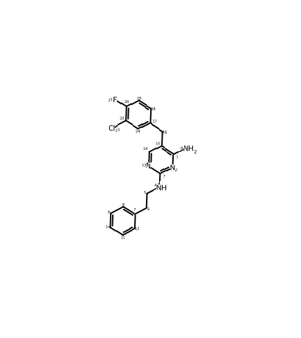 Nc1nc(NCCc2ccccc2)ncc1Cc1ccc(F)c(Cl)c1